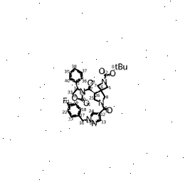 CC(C)(C)OC(=O)N1CC2(C1)CN(C(=O)c1cnn(Cc3ccc(F)cc3)c1)C[C@H]2C(=O)N1C(=O)OC[C@H]1c1ccccc1